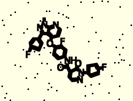 Cn1nc(-c2ccc(F)cc2)c2c(Oc3ccc(NC(=O)c4ccnn(-c5ccc(F)cc5)c4=O)cc3F)ccnc21